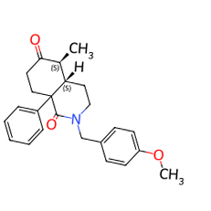 COc1ccc(CN2CC[C@H]3[C@H](C)C(=O)CCC3(c3ccccc3)C2=O)cc1